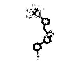 [C-]#[N+]c1cccc(-c2ccc3nnc(Cc4cccc(B5OC(C)(C)C(C)(C)O5)c4)n3n2)c1